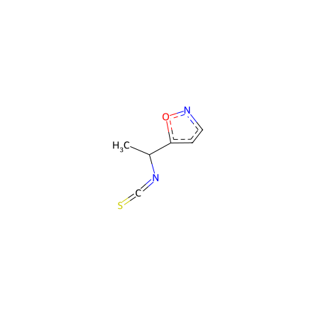 CC(N=C=S)c1ccno1